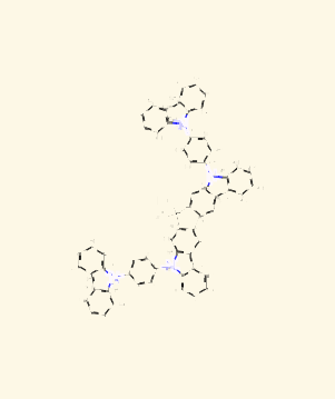 CC1(C)c2cc3c(cc2-c2cc4c5ccccc5n(-c5ccc(-n6c7ccccc7c7ccccc76)cc5)c4cc21)c1ccccc1n3-c1ccc(-n2c3ccccc3c3ccccc32)cc1